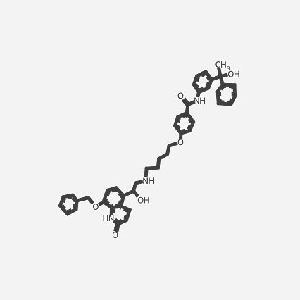 CC(O)(c1ccccc1)c1cccc(NC(=O)c2ccc(OCCCCCNCC(O)c3ccc(OCc4ccccc4)c4[nH]c(=O)ccc34)cc2)c1